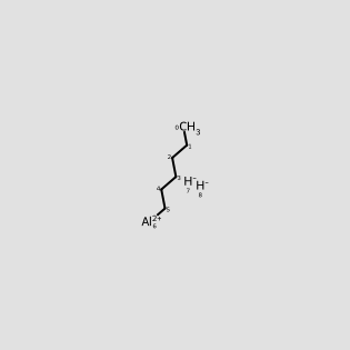 CCCCC[CH2][Al+2].[H-].[H-]